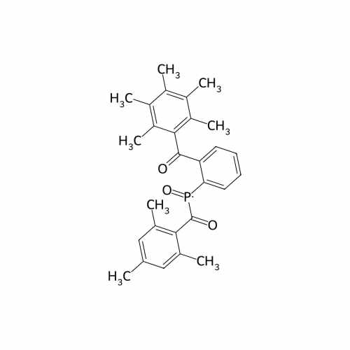 Cc1cc(C)c(C(=O)[P](=O)c2ccccc2C(=O)c2c(C)c(C)c(C)c(C)c2C)c(C)c1